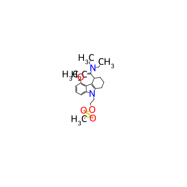 C=C(C1CCCc2c1c1c(OC)cccc1n2CCOS(C)(=O)=O)N(CC)CC